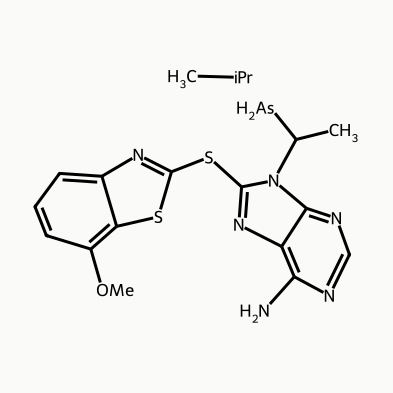 CC(C)C.COc1cccc2nc(Sc3nc4c(N)ncnc4n3C(C)[AsH2])sc12